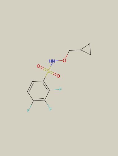 O=S(=O)(NOCC1CC1)c1ccc(F)c(F)c1F